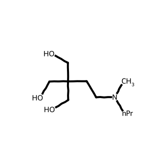 CCCN(C)CCC(CO)(CO)CO